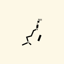 C=C.CN(C)CCCN=C=N